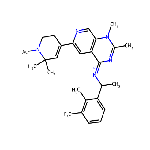 CC(=O)N1CCC(c2cc3/c(=N/C(C)c4cccc(C(F)(F)F)c4C)nc(C)n(C)c3cn2)=CC1(C)C